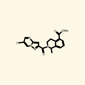 COC(=O)c1cccc2c1CCN(C(=O)c1cc3ncc(Cl)cn3n1)C2C